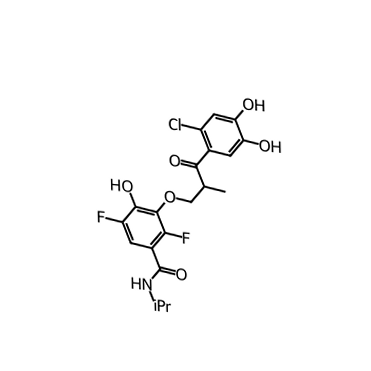 CC(C)NC(=O)c1cc(F)c(O)c(OCC(C)C(=O)c2cc(O)c(O)cc2Cl)c1F